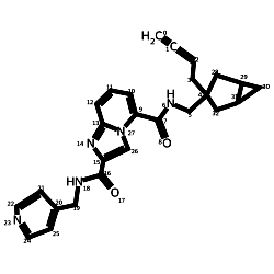 C=C=CCC1(CNC(=O)c2cccc3nc(C(=O)NCc4ccncc4)cn23)CC2CC2C1